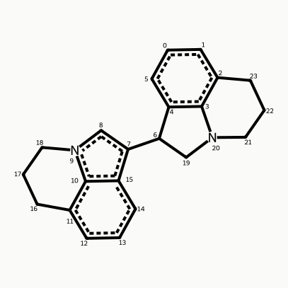 c1cc2c3c(c1)C(c1cn4c5c(cccc15)CCC4)CN3CCC2